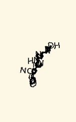 N#Cc1cc(-c2ccnc(Nc3ccc(CCN4CC(O)C4)nc3)n2)ccc1OC1CCOCC1